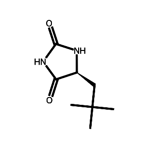 CC(C)(C)C[C@@H]1NC(=O)NC1=O